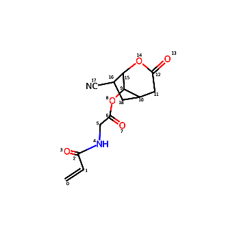 C=CC(=O)NCC(=O)OC1C2CC(=O)OC1C(C#N)C2